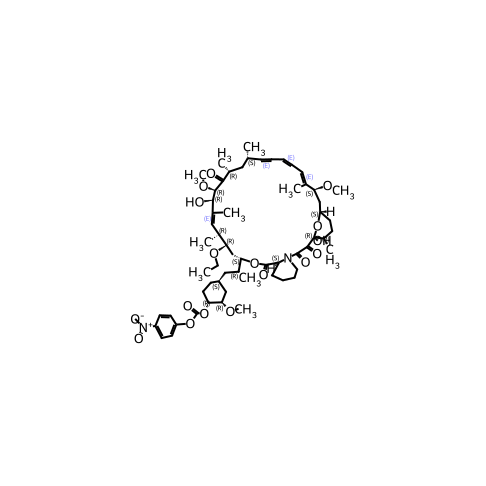 CCO[C@@H]1C[C@@H]([C@H](C)C[C@@H]2CC[C@@H](OC(=O)Oc3ccc([N+](=O)[O-])cc3)[C@H](OC)C2)OC(=O)[C@@H]2CCCCN2C(=O)C(=O)[C@]2(O)O[C@@H](CC[C@H]2C)C[C@H](OC)/C(C)=C/C=C/C=C/[C@@H](C)C[C@@H](C)C(=O)[C@H](OC)[C@H](O)/C(C)=C/[C@H]1C